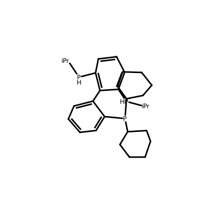 CC(C)Pc1cccc(PC(C)C)c1-c1ccccc1P(C1CCCCC1)C1CCCCC1